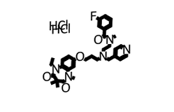 CCN1C(=O)C(C)(C)C(=O)N(C)c2cc(OCCCN(CCN(C)C(=O)c3cccc(F)c3)Cc3ccncc3)ccc21.Cl.Cl